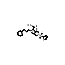 NC(=O)C1[C@@H]2CN(S(=O)(=O)c3cccs3)CC2CN1CC[CH]c1ccccc1